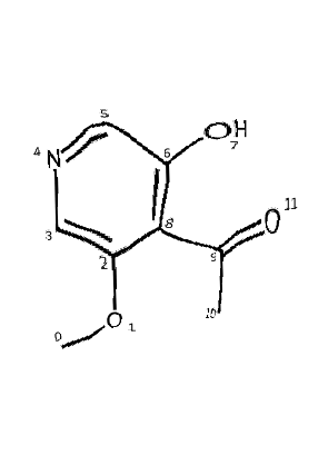 COc1cncc(O)c1C(C)=O